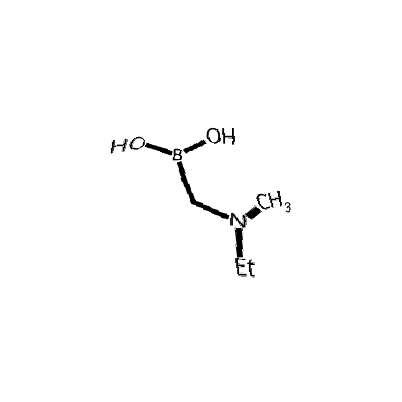 CCN(C)CB(O)O